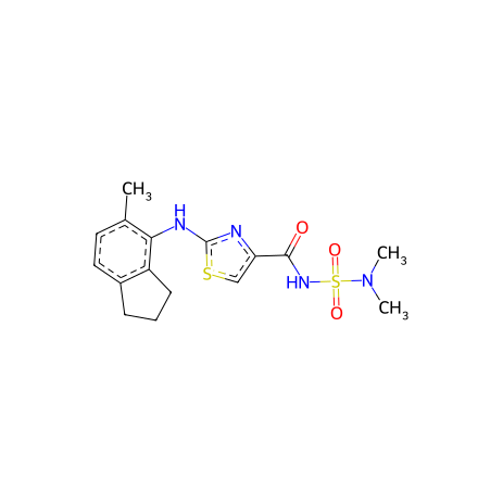 Cc1ccc2c(c1Nc1nc(C(=O)NS(=O)(=O)N(C)C)cs1)CCC2